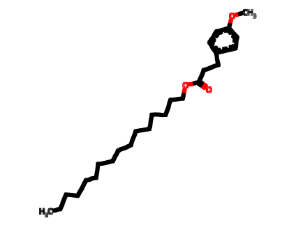 CCCCCCCCCCCCCCCCOC(=O)CCc1ccc(OC)cc1